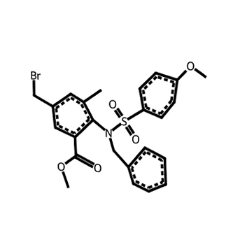 COC(=O)c1cc(CBr)cc(C)c1N(Cc1ccccc1)S(=O)(=O)c1ccc(OC)cc1